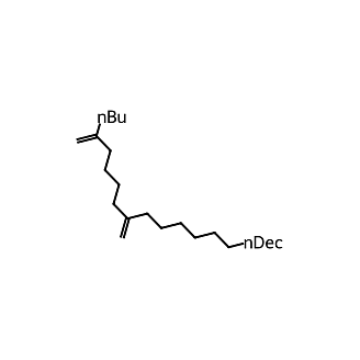 C=C(CCCC)CCCCC(=C)CCCCCCCCCCCCCCCC